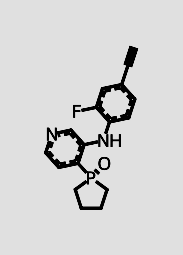 C#Cc1ccc(Nc2cnccc2P2(=O)CCCC2)c(F)c1